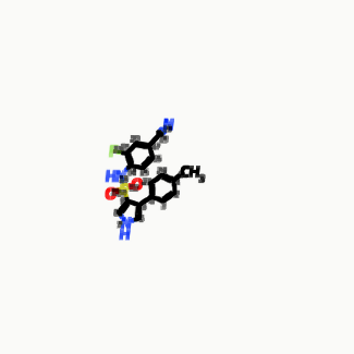 Cc1ccc(-c2c[nH]cc2S(=O)(=O)Nc2ccc(C#N)cc2F)cc1